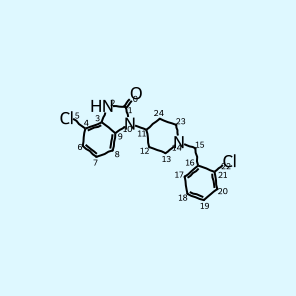 O=c1[nH]c2c(Cl)cccc2n1C1CCN(Cc2ccccc2Cl)CC1